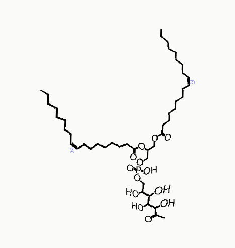 CCCCCCCC/C=C\CCCCCCCC(=O)OCC(COP(=O)(O)OCC(O)C(O)C(O)C(O)C(C)=O)OC(=O)CCCCCCC/C=C\CCCCCCCC